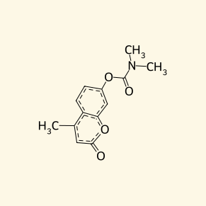 Cc1cc(=O)oc2cc(OC(=O)N(C)C)ccc12